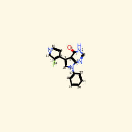 O=c1[nH]cnc2c1c(-c1ccncc1F)cn2-c1ccccc1